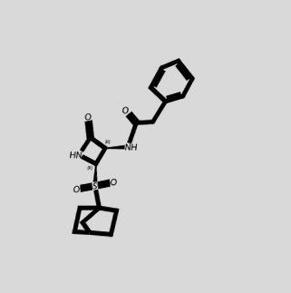 O=C(Cc1ccccc1)N[C@@H]1C(=O)N[C@@H]1S(=O)(=O)C12CCC(CC1)C2